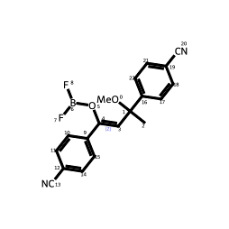 COC(C)(/C=C(\OB(F)F)c1ccc(C#N)cc1)c1ccc(C#N)cc1